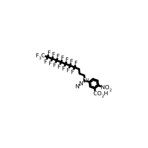 [N-]=[N+]=[N+](CCCC(F)(F)C(F)(F)C(F)(F)C(F)(F)C(F)(F)C(F)(F)C(F)(F)C(F)(F)F)c1ccc([N+](=O)[O-])c(C(=O)O)c1